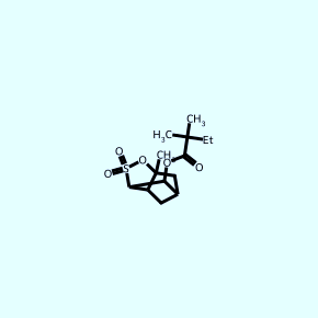 CCC(C)(C)C(=O)OC1C2CC3C1S(=O)(=O)OC3(C)C2